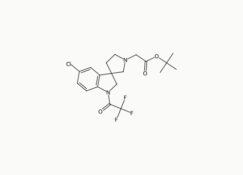 CC(C)(C)OC(=O)CN1CCC2(C1)CN(C(=O)C(F)(F)F)c1ccc(Cl)cc12